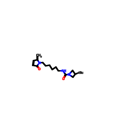 C=C1C=CC(=O)N1CCCCCCNC(=O)N1CC(C(C)(C)C)C1